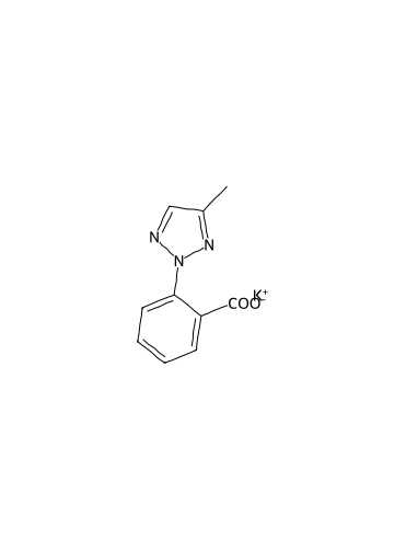 Cc1cnn(-c2ccccc2C(=O)[O-])n1.[K+]